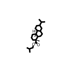 CC(C)COC(=O)[C@]1(C)CCC[C@@]2(C)C1CCC1CC(C(C)C)CC[C@@H]12